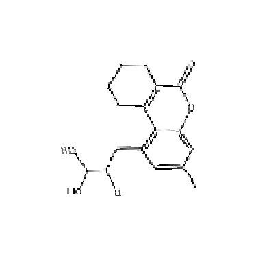 Cc1cc(CC(Cl)C(O)O)c2c3c(c(=O)oc2c1)CCCC3